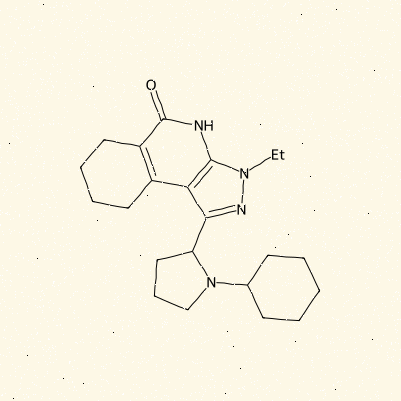 CCn1nc(C2CCCN2C2CCCCC2)c2c3c(c(=O)[nH]c21)CCCC3